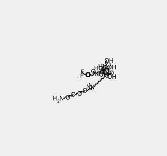 NCCOCCOCCOCCOCc1cn(CCCCCCCCO[C@]2(C(=O)O)C[C@H](O)[C@@H](NC(=O)CO)[C@H]([C@H](O)[C@H](O)CNC(=O)Cc3ccc(C(F)F)cc3)O2)nn1